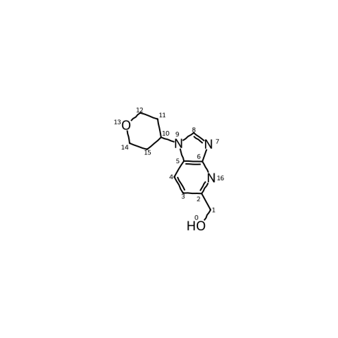 OCc1ccc2c(ncn2C2CCOCC2)n1